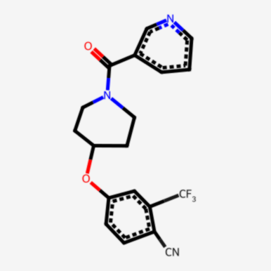 N#Cc1ccc(OC2CCN(C(=O)c3cccnc3)CC2)cc1C(F)(F)F